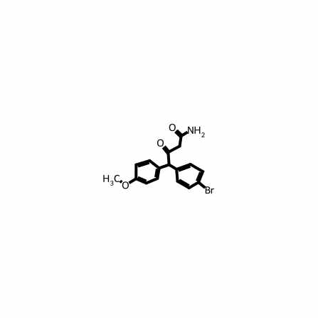 COc1ccc(C(C(=O)CC(N)=O)c2ccc(Br)cc2)cc1